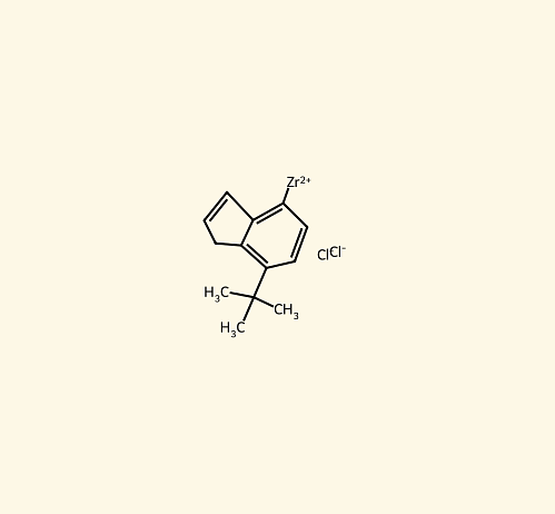 CC(C)(C)c1cc[c]([Zr+2])c2c1CC=C2.[Cl-].[Cl-]